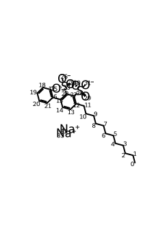 CCCCCCCCCCCCc1ccc(-c2ccccc2)c(S(=O)(=O)[O-])c1S(=O)(=O)[O-].[Na+].[Na+]